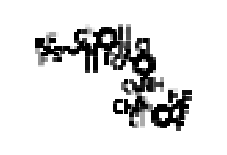 O=C(CCSC(F)(F)F)Nc1c(F)ccc(NC(=O)c2cc(NC(=O)[C@H]3[C@H](c4ccc(F)c(C(F)(F)F)c4)C3(Cl)Cl)ccc2Cl)c1F